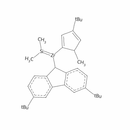 CC1C=C(C(C)(C)C)C=[C]1[Zr]([CH]1c2ccc(C(C)(C)C)cc2-c2cc(C(C)(C)C)ccc21)=[Si](C)C